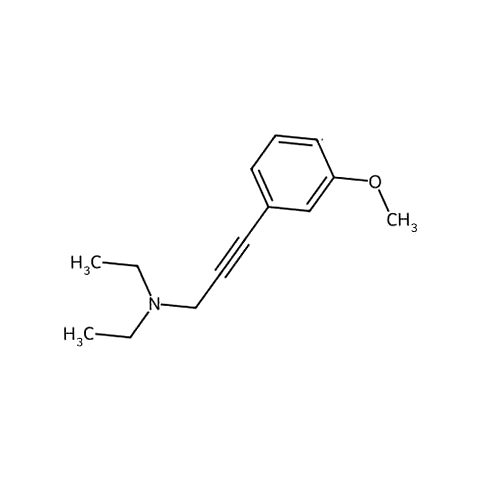 CCN(CC)CC#Cc1cc[c]c(OC)c1